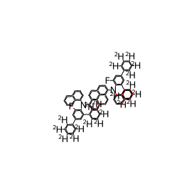 [2H]c1c([2H])c([2H])c(-c2cc(F)c(N(c3cccc4ccccc34)c3ccc4ccc5c(N(c6c(F)cc(-c7c([2H])c([2H])c([2H])c([2H])c7[2H])cc6-c6c([2H])c([2H])c([2H])c([2H])c6[2H])c6cccc7ccccc67)ccc6ccc3c4c65)c(-c3c([2H])c([2H])c([2H])c([2H])c3[2H])c2)c([2H])c1[2H]